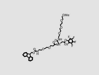 COCCOCCOCCOCCNC(=O)[C@H](CCC(=O)Oc1c(F)c(F)c(F)c(F)c1F)NC(=O)CCOCCOCCNC(=O)OCC1c2ccccc2-c2ccccc21